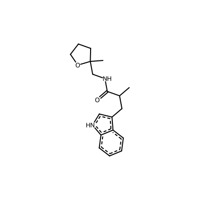 CC(Cc1c[nH]c2ccccc12)C(=O)NCC1(C)CCCO1